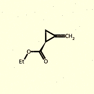 C=C1C[C@@H]1C(=O)OCC